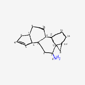 NC1CC2C3C=CCC3CCC2C2CCC3CC132